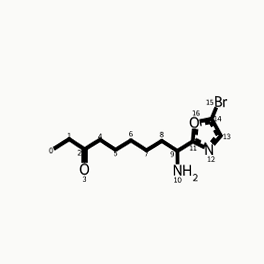 CCC(=O)CCCCCC(N)c1ncc(Br)o1